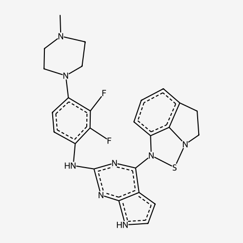 CN1CCN(c2ccc(Nc3nc(N4SN5CCc6cccc4c65)c4cc[nH]c4n3)c(F)c2F)CC1